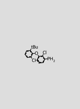 Cc1cccc(C(C)(C)C)c1Oc1cccc(P)c1Cl